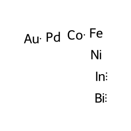 [Au].[Bi].[Co].[Fe].[In].[Ni].[Pd]